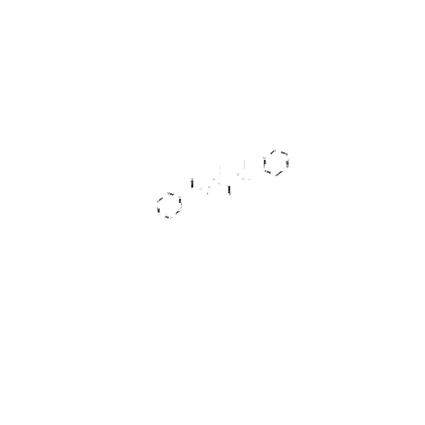 CC(C)(C)c1ccc(C(=O)NNC(=O)NSc2ccccc2F)cc1